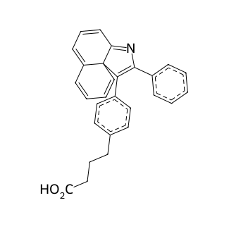 O=C(O)CCCc1ccc(C2=C(c3ccccc3)N=C3C=CC=C4C=CC=CC432)cc1